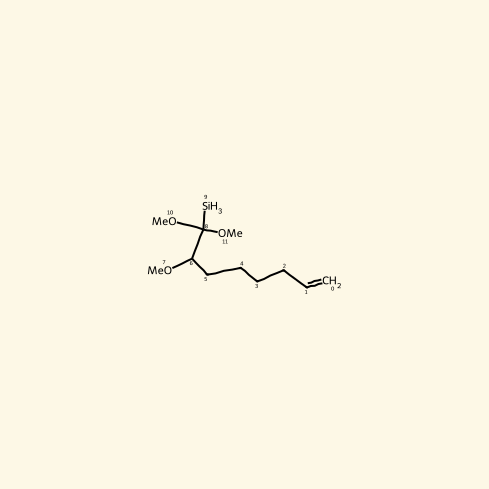 C=CCCCCC(OC)C([SiH3])(OC)OC